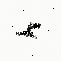 COC(=O)N(C)C1CN(C(=O)N[C@H](C)c2ccc(C(F)(F)F)nc2)N=C1c1ccc(OC)cc1